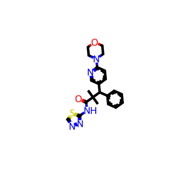 CC(C)(C(=O)Nc1nncs1)C(c1ccccc1)c1ccc(N2CCOCC2)nc1